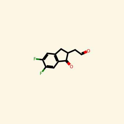 O=CCC1Cc2cc(F)c(F)cc2C1=O